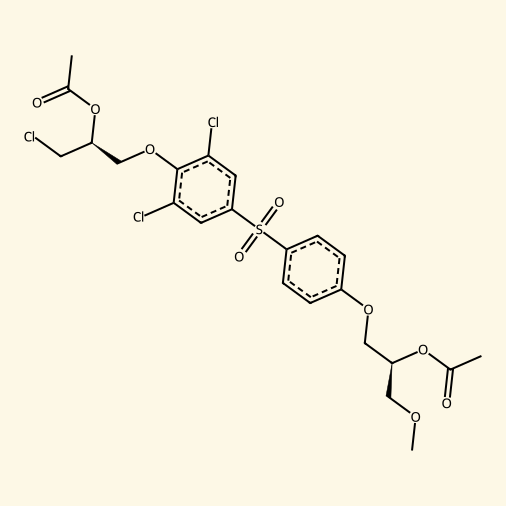 COC[C@@H](COc1ccc(S(=O)(=O)c2cc(Cl)c(OC[C@@H](CCl)OC(C)=O)c(Cl)c2)cc1)OC(C)=O